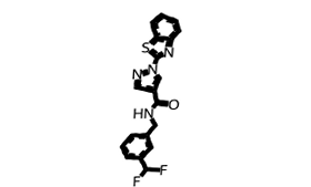 O=C(NCc1cccc(C(F)F)c1)c1cnn(-c2nc3ccccc3s2)c1